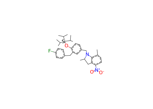 Cc1ccc([N+](=O)[O-])c2c1N(Cc1ccc(O[Si](C(C)C)(C(C)C)C(C)C)c(Cc3ccc(F)cc3)c1)C(C)C2